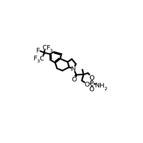 CC1(C(=O)N2CCC3c4ccc(C(F)(C(F)(F)F)C(F)(F)F)cc4CCC32)COP(N)(=O)OC1